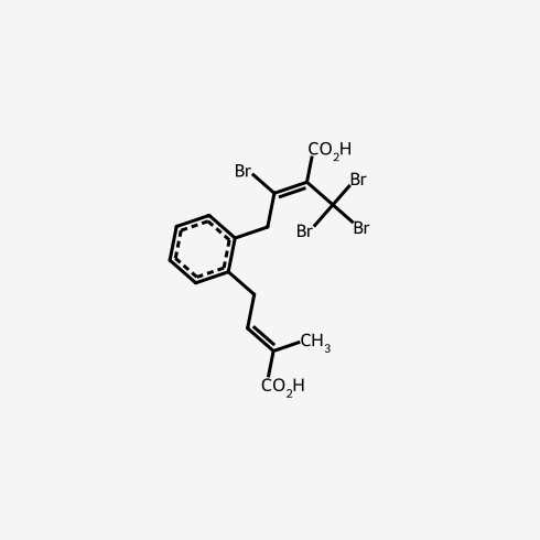 CC(=CCc1ccccc1CC(Br)=C(C(=O)O)C(Br)(Br)Br)C(=O)O